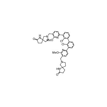 COc1nc(-c2cccc(-c3cccc(-c4ccc(CN5CCC6(CCC(=O)N6)C5)c(OC)n4)c3Cl)c2Cl)ccc1CN1CCC2(CCC(=O)N2)C1